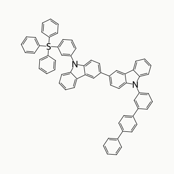 c1ccc(-c2ccc(-c3cccc(-n4c5ccccc5c5cc(-c6ccc7c(c6)c6ccccc6n7-c6cccc(S(c7ccccc7)(c7ccccc7)c7ccccc7)c6)ccc54)c3)cc2)cc1